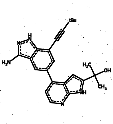 CC(C)(C)C#Cc1cc(-c2ccnc3[nH]c(C(C)(C)O)cc23)cc2c(N)n[nH]c12